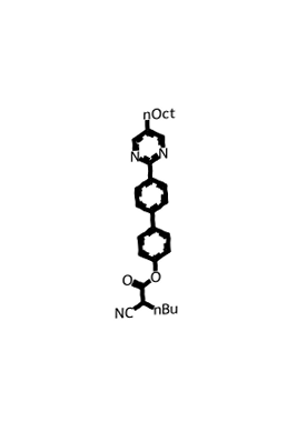 CCCCCCCCc1cnc(-c2ccc(-c3ccc(OC(=O)C(C#N)CCCC)cc3)cc2)nc1